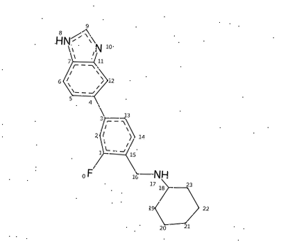 Fc1cc(-c2ccc3[nH]cnc3c2)ccc1CNC1CCCCC1